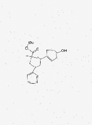 CC(CC(CC(C)(C)C(=O)OC(C)(C)C)c1ccccc1)c1ccc(O)cc1